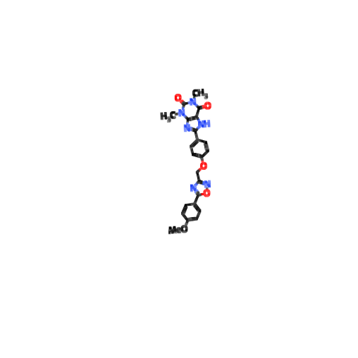 COc1ccc(-c2nc(COc3ccc(-c4nc5c([nH]4)c(=O)n(C)c(=O)n5C)cc3)no2)cc1